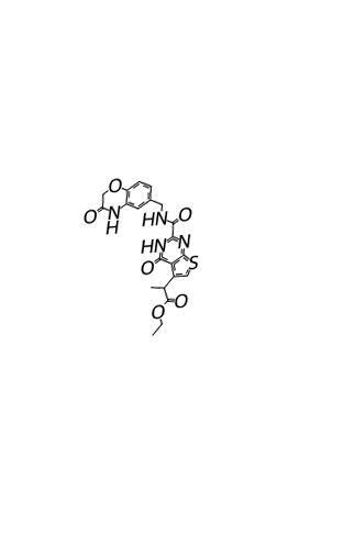 CCOC(=O)C(C)c1csc2nc(C(=O)NCc3ccc4c(c3)NC(=O)CO4)[nH]c(=O)c12